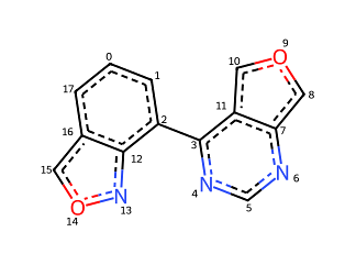 c1cc(-c2ncnc3cocc23)c2nocc2c1